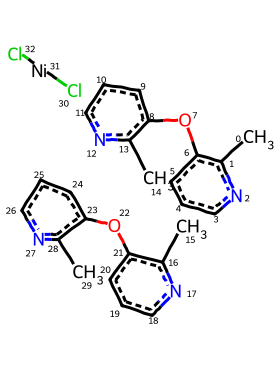 Cc1ncccc1Oc1cccnc1C.Cc1ncccc1Oc1cccnc1C.[Cl][Ni][Cl]